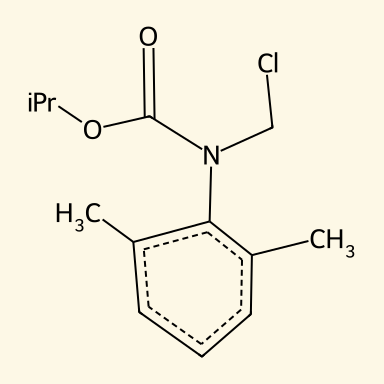 Cc1cccc(C)c1N(CCl)C(=O)OC(C)C